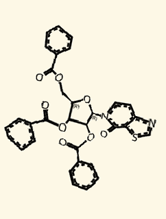 O=C(OC[C@H]1O[C@@H](n2ccc3ncsc3c2=O)C(OC(=O)c2ccccc2)C1OC(=O)c1ccccc1)c1ccccc1